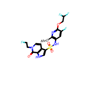 COc1nc(OCC(F)F)c(F)cc1NS(=O)(=O)c1c[nH]c2c(=O)n(CCF)ccc12